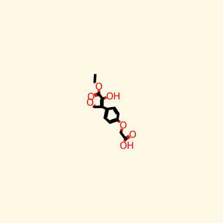 CCOC(=O)C(O)=C(C=O)c1ccc(OCC(=O)O)cc1